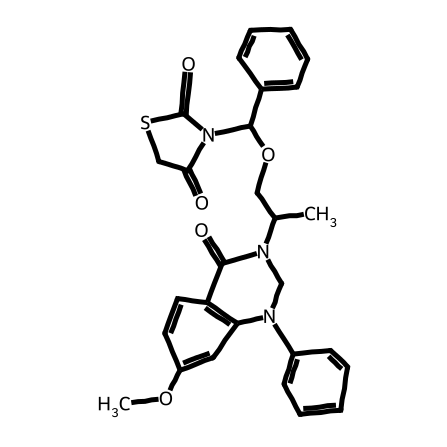 COc1ccc2c(c1)N(c1ccccc1)CN(C(C)COC(c1ccccc1)N1C(=O)CSC1=O)C2=O